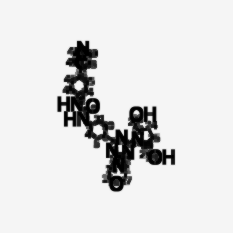 O=C(Nc1ccc(-c2nc(N3C4CCC3COC4)nc(N3[C@H](CO)CC[C@@H]3CO)n2)cc1)Nc1ccc(C23CCN(CC2)CC3)cc1